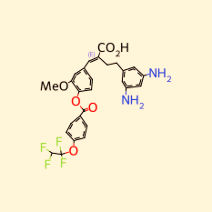 COc1cc(/C=C(\CCc2cc(N)cc(N)c2)C(=O)O)ccc1OC(=O)c1ccc(OC(F)(F)C(F)F)cc1